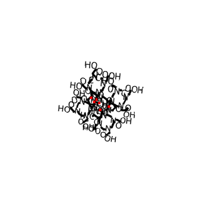 CC1NCC(=O)C2(CN(CC(=O)O)CCN(CC(=O)O)CCN(CC(=O)O)CCN2N2CCN(N3CCN(CC(=O)O)CCN(CC(=O)O)CCN(CC(=O)O)CC34C(=O)CNC(C)C4=O)CCN(N3CCN(CC(=O)O)CCN(CC(=O)O)CCN(CC(=O)O)CC34C(=O)CNC(C)C4=O)CCN(N3CCN(CC(=O)O)CCN(CC(=O)O)CCN(CC(=O)O)CC34C(=O)CNC(C)C4=O)CC2)C1=O